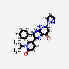 CC(C)n1cc(-c2nc3c(=O)cc(-n4cccn4)[nH]c3nc2-c2ccccc2)ccc1=O